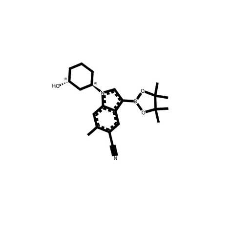 Cc1cc2c(cc1C#N)c(B1OC(C)(C)C(C)(C)O1)cn2[C@@H]1CCC[C@@H](O)C1